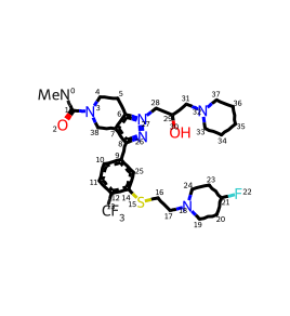 CNC(=O)N1CCc2c(c(-c3ccc(C(F)(F)F)c(SCCN4CCC(F)CC4)c3)nn2CC(O)CN2CCCCC2)C1